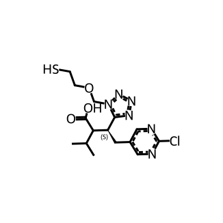 CC(C)C(C(=O)O)[C@H](Cc1cnc(Cl)nc1)c1nnnn1COCCS